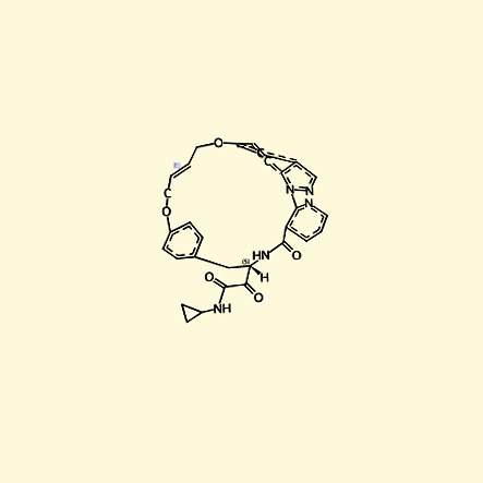 O=C(NC1CC1)C(=O)[C@@H]1Cc2ccc(cc2)OC/C=C/COc2ccc3c(cnn3-c3ncccc3C(=O)N1)c2